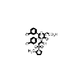 CC[C@@H](CS(=O)(=O)N1CCC[C@H]1C)N1C(=O)[C@H](CC(=O)O)O[C@H](c2cccc(Cl)c2)[C@H]1c1ccc(Cl)cc1